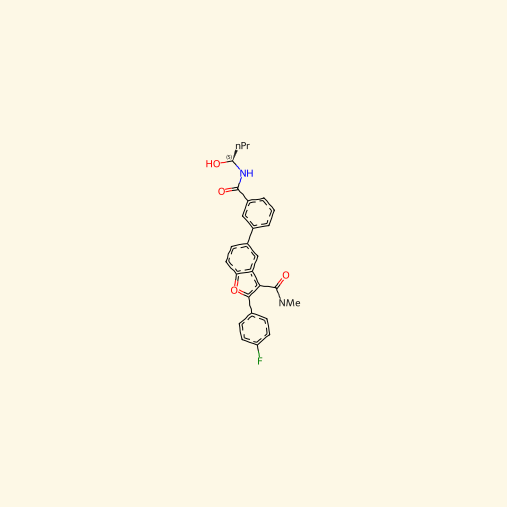 CCC[C@H](O)NC(=O)c1cccc(-c2ccc3oc(-c4ccc(F)cc4)c(C(=O)NC)c3c2)c1